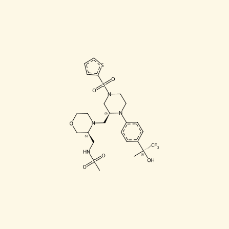 C[C@](O)(c1ccc(N2CCN(S(=O)(=O)c3cccs3)C[C@@H]2CN2CCOC[C@@H]2CNS(C)(=O)=O)cc1)C(F)(F)F